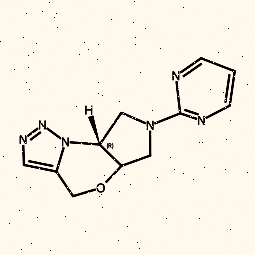 c1cnc(N2CC3OCc4cnnn4[C@@H]3C2)nc1